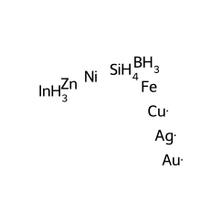 B.[Ag].[Au].[Cu].[Fe].[InH3].[Ni].[SiH4].[Zn]